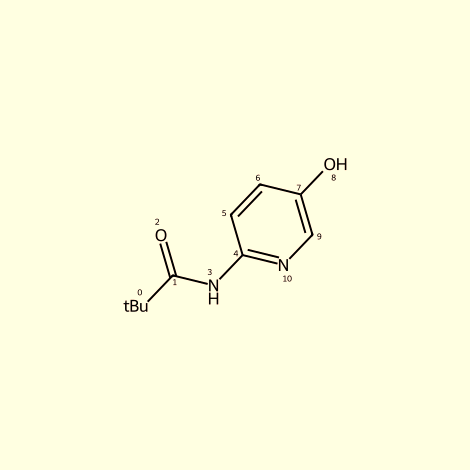 CC(C)(C)C(=O)Nc1ccc(O)cn1